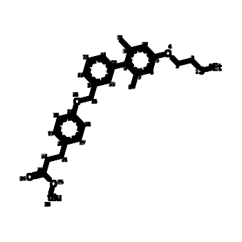 CCSCCOc1cc(C)c(-c2cccc(COc3ccc(CCC(=O)OC(C)(C)C)cc3)c2)c(C)c1